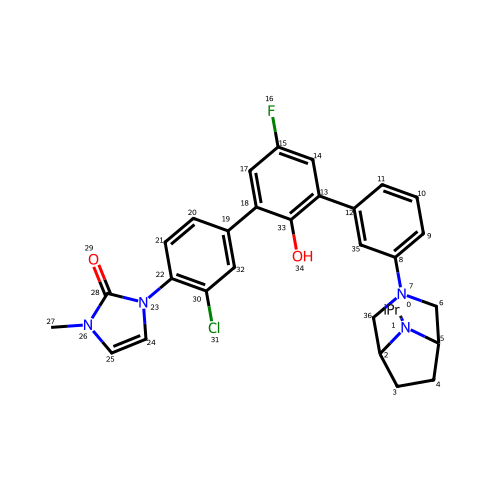 CC(C)N1C2CCC1CN(c1cccc(-c3cc(F)cc(-c4ccc(-n5ccn(C)c5=O)c(Cl)c4)c3O)c1)C2